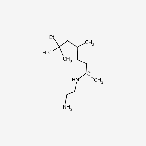 CCC(C)(C)CC(C)CC[C@H](C)NCCN